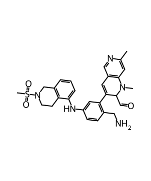 Cc1cc2c(cn1)C=C(c1cc(Nc3cccc4c3CCN(S(C)(=O)=O)C4)ccc1CN)C(C=O)N2C